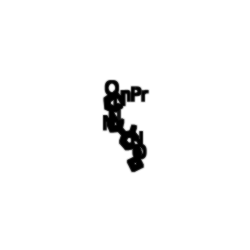 CCCn1cc(-n2cc(-c3ccc(OC4CCC4)nc3C)cn2)ccc1=O